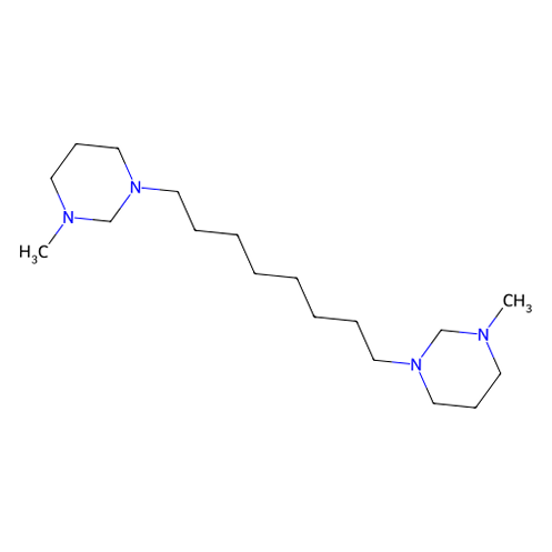 CN1CCCN(CCCCCCCCN2CCCN(C)C2)C1